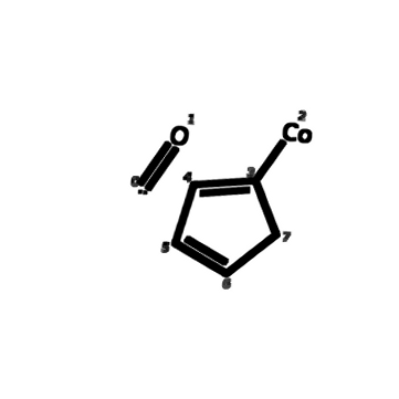 [C]=O.[Co][C]1=CC=CC1